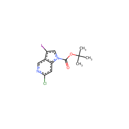 CC(C)(C)OC(=O)n1cc(I)c2cnc(Cl)cc21